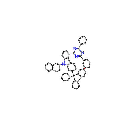 c1ccc(-c2nc(-c3ccccc3)nc(-c3cccc4c3c3ccc(C5(c6ccccc6)c6ccccc6-c6ccccc65)cc3n4-c3ccc4ccccc4c3)n2)cc1